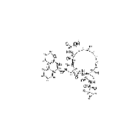 CC[C@@H]1C[C@@H](C)CCC=C[C@@H]2C[C@@]2(C(=O)NS(=O)(=O)C2(C)CC2)NC(=O)[C@@H]2C[C@@H](Oc3nc4c(c5ccccc35)CCCO4)CN2C(=O)[C@H]1NC(=O)O